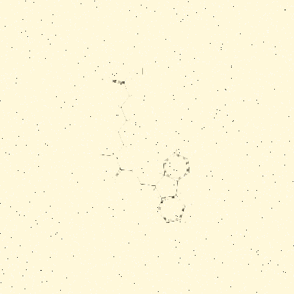 CN(CCCCCC(=O)O)C(=O)OCC1c2ccccc2-c2ccccc21